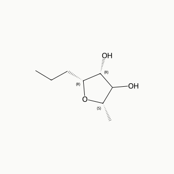 CCC[C@H]1O[C@@H](C)C(O)[C@H]1O